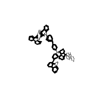 CC1(C)c2ccccc2-c2c(N(c3ccc(-c4ccc(-n5c6ccccc6c6nc7c8ccccc8c8ccccc8n7c65)cc4)cc3)c3ccc(-c4cccc5c4oc4ccccc45)cc3)cccc21